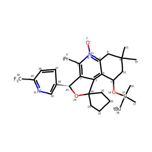 CC(C)c1c2c(c3c([n+]1[O-])CC(C)(C)CC3O[Si](C)(C)C(C)(C)C)C1(CCCC1)O[C@@H]2c1ccc(C(F)(F)F)nc1